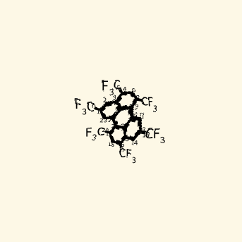 FC(F)(F)c1cc2c(C(F)(F)F)cc(C(F)(F)F)c3c4cc(C(F)(F)F)cc5c(C(F)(F)F)cc(C(F)(F)F)c(c(c1)c23)c54